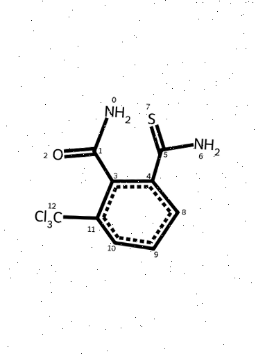 NC(=O)c1c(C(N)=S)cccc1C(Cl)(Cl)Cl